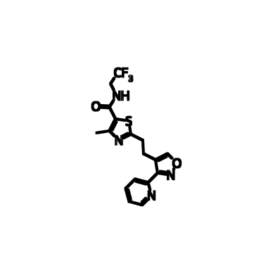 Cc1nc(CCc2conc2-c2ccccn2)sc1C(=O)NCC(F)(F)F